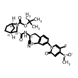 C[S+]([O-])c1cc(=O)n(-c2ccc(C[C@@H](C#N)NC(=O)[C@@H]3[C@H]4CC[C@H](C4)N3C(=O)OC(C)(C)C)c(F)c2)cc1F